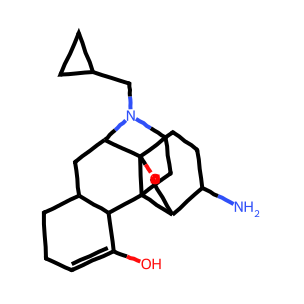 NC1CCC23OCC1C21CCN(CC2CC2)C3CC2CCC=C(O)C21